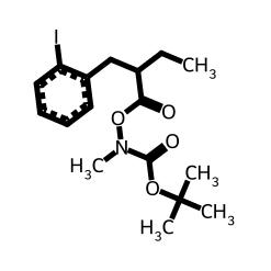 CCC(Cc1ccccc1I)C(=O)ON(C)C(=O)OC(C)(C)C